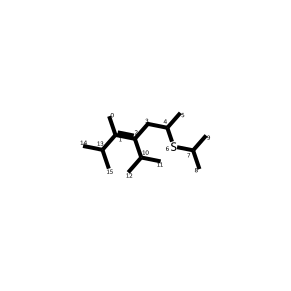 C/C(=C(\CC(C)SC(C)C)C(C)C)C(C)C